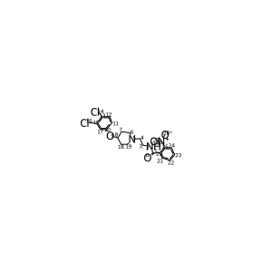 O=C(NCCN1CCC(Oc2ccc(Cl)c(Cl)c2)CC1)c1ccccc1[N+](=O)[O-]